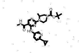 CNC(=O)c1cnc(N2CCN(C(=O)OC(C)(C)C)CC2C)nc1Nc1ccc(C2CC2)nc1